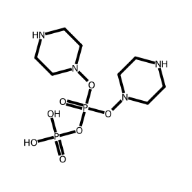 O=P(O)(O)OP(=O)(ON1CCNCC1)ON1CCNCC1